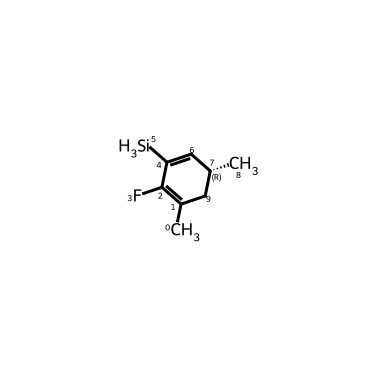 CC1=C(F)C([SiH3])=C[C@H](C)C1